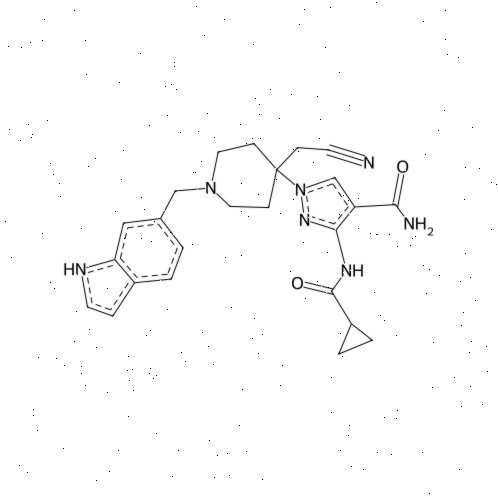 N#CCC1(n2cc(C(N)=O)c(NC(=O)C3CC3)n2)CCN(Cc2ccc3cc[nH]c3c2)CC1